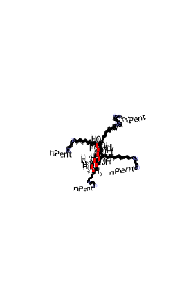 CCCCC/C=C\C/C=C\CCCCCCCCC(O)[C@](O)(CCCCCCCC/C=C\C/C=C\CCCCC)[C@](O)(C(=O)CCCN(C)C)[C@@](O)(C(=O)CCCN(C)C)[C@@](O)(CCCCCCCC/C=C\C/C=C\CCCCC)C(O)CCCCCCCC/C=C\C/C=C\CCCCC